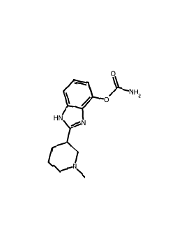 CN1CCCC(c2nc3c(OC(N)=O)cccc3[nH]2)C1